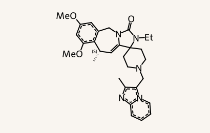 CCN1C(=O)N2Cc3cc(OC)cc(OC)c3[C@@H](C)C=C2C12CCN(Cc1c(C)nc3ccccn13)CC2